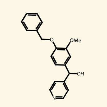 COc1cc(C(O)c2ccncc2)ccc1OCc1ccccc1